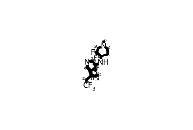 CN1CCC(Nc2cncc3c(CC(F)(F)F)csc23)C(F)(F)C1